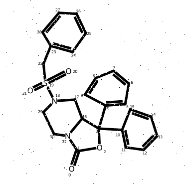 O=C1OC(c2ccccc2)(c2ccccc2)C2CN(S(=O)(=O)Cc3ccccc3)CCN12